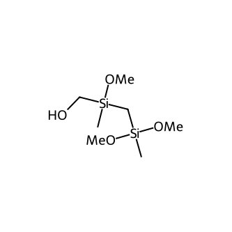 CO[Si](C)(CO)C[Si](C)(OC)OC